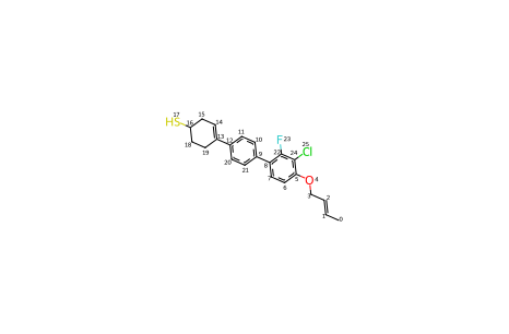 C/C=C/COc1ccc(-c2ccc(C3=CCC(S)CC3)cc2)c(F)c1Cl